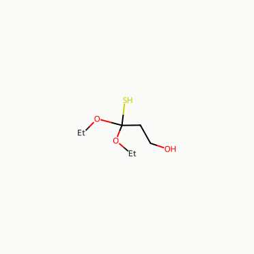 CCOC(S)(CCO)OCC